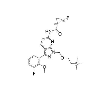 COc1c(F)cccc1-c1nn(COCC[Si](C)(C)C)c2nc(NC(=O)[C@@H]3C[C@@H]3F)ccc12